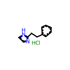 Cl.c1ccc(CCc2ncc[nH]2)cc1